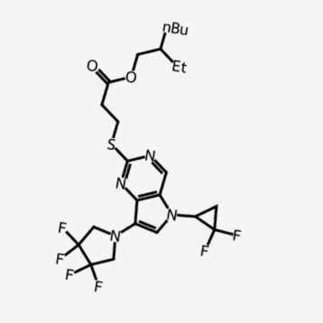 CCCCC(CC)COC(=O)CCSc1ncc2c(n1)c(N1CC(F)(F)C(F)(F)C1)cn2C1CC1(F)F